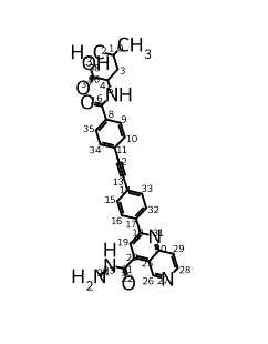 CC(C)CC(NC(=O)c1ccc(C#Cc2ccc(-c3cc(C(=O)NN)c4cnccc4n3)cc2)cc1)C(=O)O